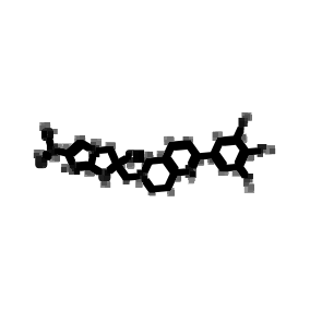 CC1(CN2CCc3nc(-c4cc(F)c(F)c(F)c4)ccc3C2)Cn2cc([N+](=O)[O-])nc2O1